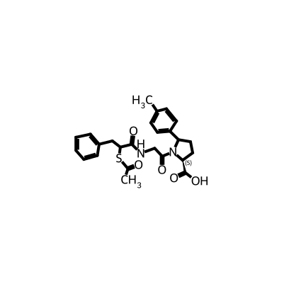 CC(=O)SC(Cc1ccccc1)C(=O)NCC(=O)N1C(c2ccc(C)cc2)CC[C@H]1C(=O)O